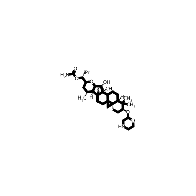 CC(C)[C@@H](OC(N)=O)C1C[C@@H](C)[C@H]2C(O1)[C@H](O)[C@@]1(C)C3CC[C@H]4C(C)(C)[C@@H](OC5CNCCO5)CC[C@@]45CC35CC[C@]21C